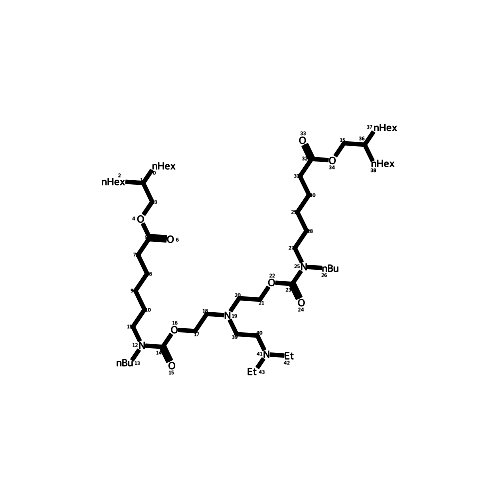 CCCCCCC(CCCCCC)COC(=O)CCCCCN(CCCC)C(=O)OCCN(CCOC(=O)N(CCCC)CCCCCC(=O)OCC(CCCCCC)CCCCCC)CCN(CC)CC